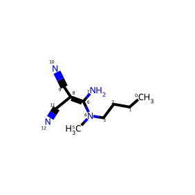 CCCCN(C)C(N)=C(C#N)C#N